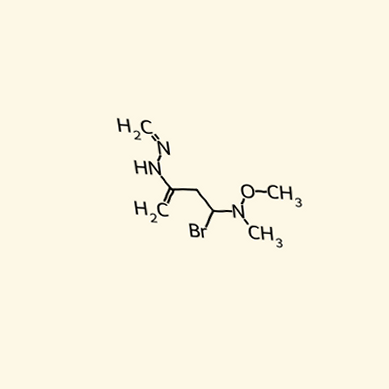 C=NNC(=C)CC(Br)N(C)OC